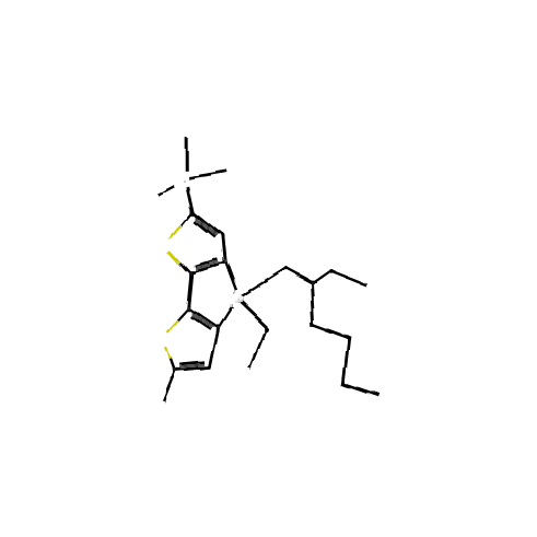 CCCCC(CC)C[Si]1(CC)c2cc(C)sc2-c2sc([Si](C)(C)C)cc21